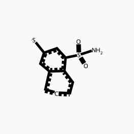 NS(=O)(=O)c1cc([S])cc2ccccc12